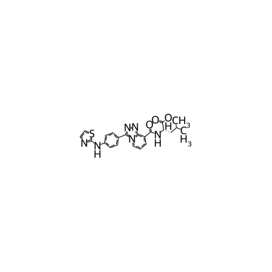 CC(C)C[C@H](NC(=O)c1cccn2c(-c3ccc(Nc4nccs4)cc3)nnc12)C(=O)O